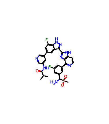 CC(C)C(=O)Nc1cncc(-c2cc(F)c3[nH]nc(-c4nc5c(-c6cc(F)cc(C(N)S(C)(=O)=O)c6)nccc5[nH]4)c3c2)c1